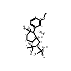 [2H]O[C@@]1(c2cccc(OC)c2)C([2H])([2H])CCC[C@@]1([2H])CN(C([2H])([2H])[2H])C([2H])([2H])[2H]